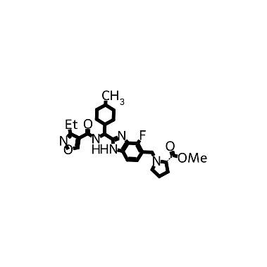 CCc1nocc1C(=O)NC(c1nc2c(F)c(CN3CCC[C@H]3C(=O)OC)ccc2[nH]1)C1CCC(C)CC1